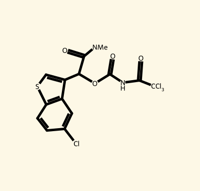 CNC(=O)C(OC(=O)NC(=O)C(Cl)(Cl)Cl)c1csc2ccc(Cl)cc12